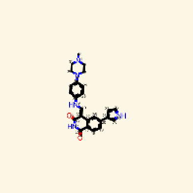 CN1CCN(c2ccc(NC=C3C(=O)NC(=O)c4ccc(-c5cc[nH]c5)cc43)cc2)CC1